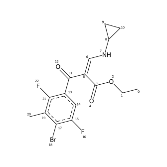 CCOC(=O)/C(=C\NC1CC1)C(=O)c1cc(F)c(Br)c(C)c1F